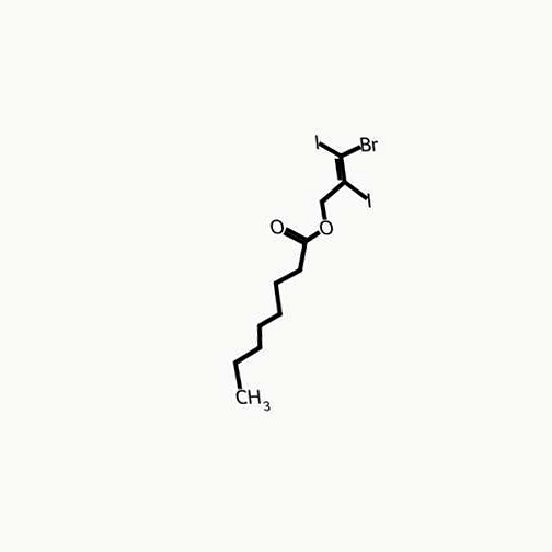 CCCCCCCC(=O)OCC(I)=C(Br)I